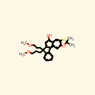 COCCCC1(CCCOC)c2ccccc2-c2c1cc(O)c1cc3c(cc21)OC(C)(C)S3